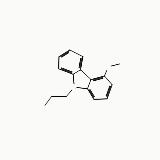 COc1cccc2c1c1ccccc1n2CCBr